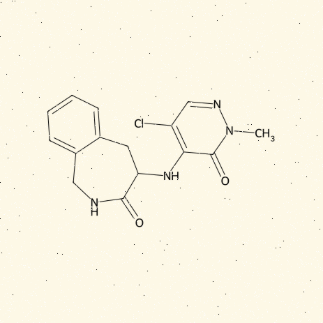 Cn1ncc(Cl)c(NC2Cc3ccccc3CNC2=O)c1=O